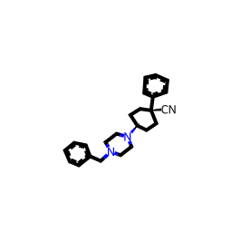 N#C[C@]1(c2ccccc2)CC[C@H](N2CCN(Cc3ccccc3)CC2)CC1